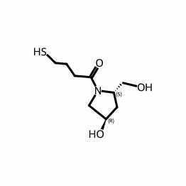 O=C(CCCS)N1C[C@H](O)C[C@H]1CO